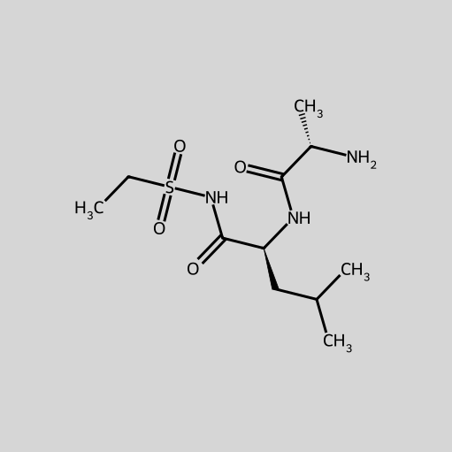 CCS(=O)(=O)NC(=O)[C@H](CC(C)C)NC(=O)[C@H](C)N